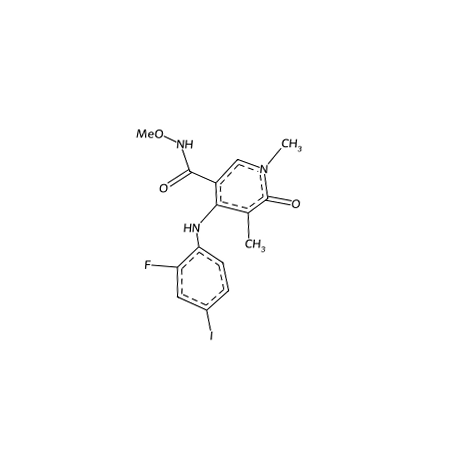 CONC(=O)c1cn(C)c(=O)c(C)c1Nc1ccc(I)cc1F